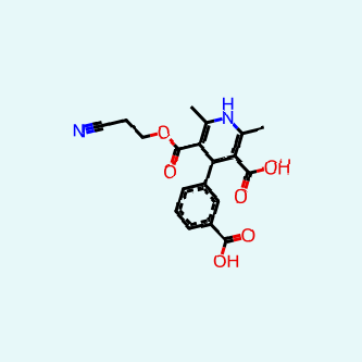 CC1=C(C(=O)O)C(c2cccc(C(=O)O)c2)C(C(=O)OCCC#N)=C(C)N1